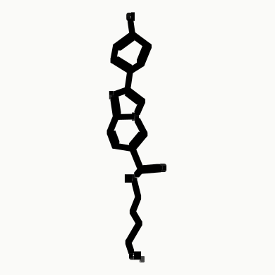 CCCCCNC(=O)c1ccc2nc(-c3ccc(Cl)cc3)cn2c1